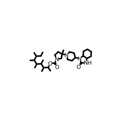 CCC(C)C(C)C(C)C(C)C(C)C(C)OC(=O)N1CCC(C)(N2CCC(N3C(=O)NC4CCCCC43)CC2)C1